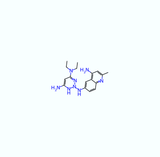 CCN(CC)C1=NN(Nc2ccc3nc(C)cc(N)c3c2)NC(N)=C1